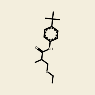 CCSCC(C)C(=O)Nc1ccc(C(C)(C)C)cc1